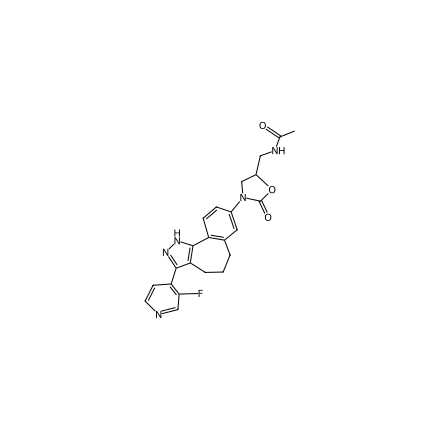 CC(=O)NCC1CN(c2ccc3c(c2)CCCc2c(-c4ccncc4F)n[nH]c2-3)C(=O)O1